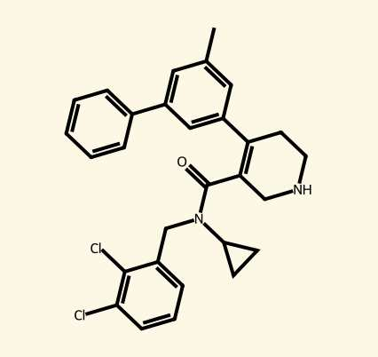 Cc1cc(C2=C(C(=O)N(Cc3cccc(Cl)c3Cl)C3CC3)CNCC2)cc(-c2ccccc2)c1